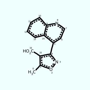 Cc1onc(-c2ccnc3ccccc23)c1C(=O)O